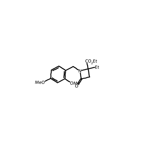 CCOC(=O)C1(CC)CC(=O)N1Cc1ccc(OC)cc1OC